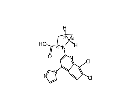 O=C(O)[C@@H]1C[C@@H]2C[C@@H]2N1c1cc(-n2ccnc2)c2ccc(Cl)c(Cl)c2n1